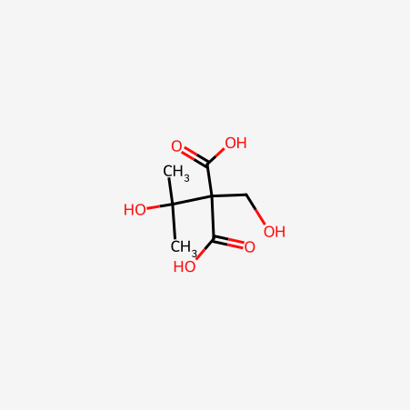 CC(C)(O)C(CO)(C(=O)O)C(=O)O